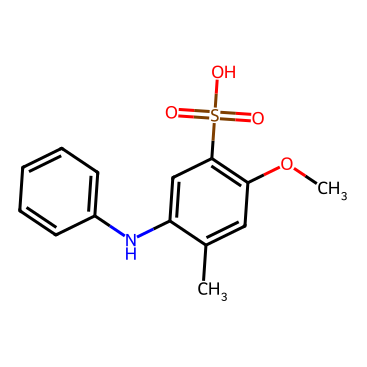 COc1cc(C)c(Nc2ccccc2)cc1S(=O)(=O)O